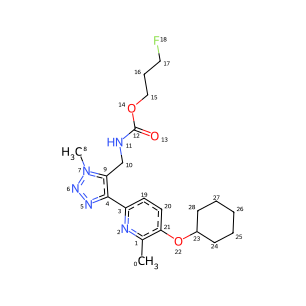 Cc1nc(-c2nnn(C)c2CNC(=O)OCCCF)ccc1OC1CCCCC1